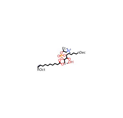 CCCCCCCC/C=C\CCCCCCCC(=O)O[C@@H](CO)C(OP(=O)([O-])OC(CC)C[N+](C)(C)C)C(=O)CCCCCCCCCCCCCCC